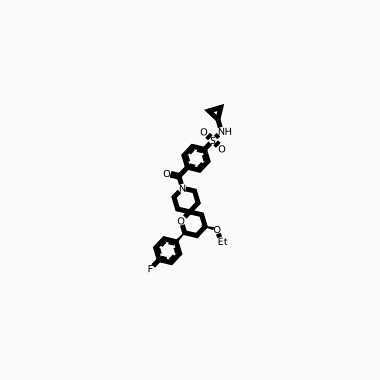 CCO[C@H]1C[C@@H](c2ccc(F)cc2)OC2(CCN(C(=O)c3ccc(S(=O)(=O)NC4CC4)cc3)CC2)C1